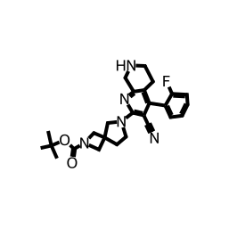 CC(C)(C)OC(=O)N1CC2(CCN(c3nc4c(c(-c5ccccc5F)c3C#N)CCNC4)C2)C1